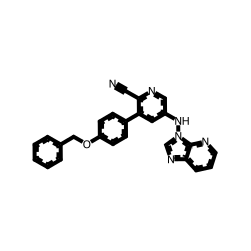 N#Cc1ncc(Nn2cnc3cccnc32)cc1-c1ccc(OCc2ccccc2)cc1